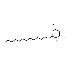 CCCCCCCCCCCCOC1O[C@H](CO)[C@@H](O)[C@H](O)[C@H]1N